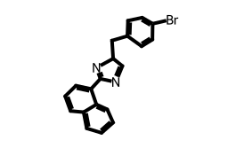 Brc1ccc(CC2C=NC(c3cccc4ccccc34)=N2)cc1